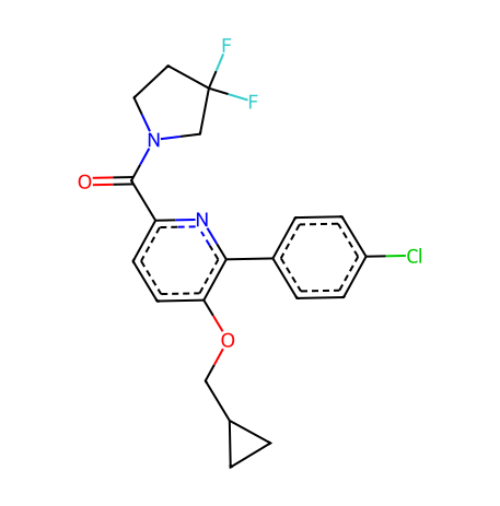 O=C(c1ccc(OCC2CC2)c(-c2ccc(Cl)cc2)n1)N1CCC(F)(F)C1